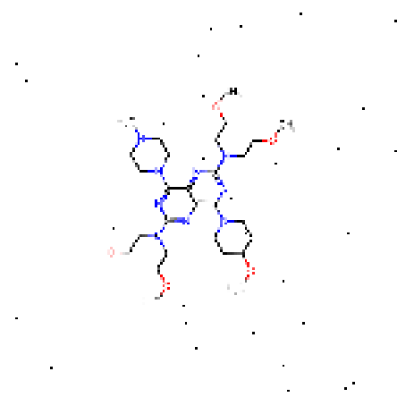 COCCN(CCO)c1nc(N2CCN(C)CC2)c2nc(N(CCOC)CCOC)nc(N3CCC(OC)CC3)c2n1